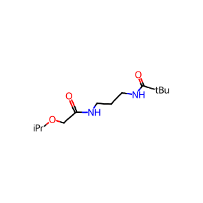 CC(C)OCC(=O)NCCCNC(=O)C(C)(C)C